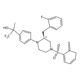 CC(O)(c1ccc(N2CCN(S(=O)(=O)C3=CC=CCC3=S)C[C@@H]2Cc2ccccc2F)cc1)C(F)(F)F